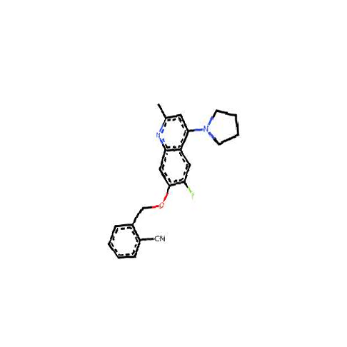 Cc1cc(N2CCCC2)c2cc(F)c(OCc3ccccc3C#N)cc2n1